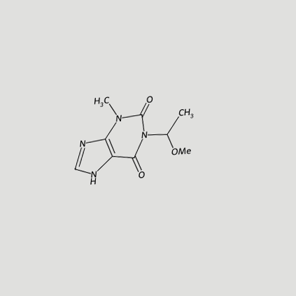 COC(C)n1c(=O)c2[nH]cnc2n(C)c1=O